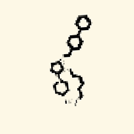 O=C(O)CC/C=C\CC[C@H]1[C@@H](OCc2ccc(-c3ccccc3)cc2)CC[C@@H]1N1CCCCC1